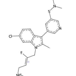 Cc1c(-c2cncc(SN(C)C)c2)c2ccc(Cl)cc2n1C/C(F)=C/CN